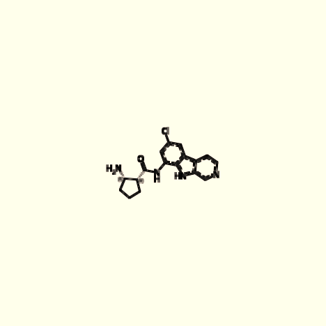 N[C@H]1CCC[C@H]1C(=O)Nc1cc(Cl)cc2c1[nH]c1cnccc12